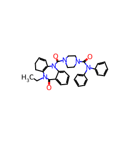 CCN1C(=O)c2ccccc2N(C(=O)N2CCN(C(=O)N(c3ccccc3)c3ccccc3)CC2)C2=C1CCC=C2